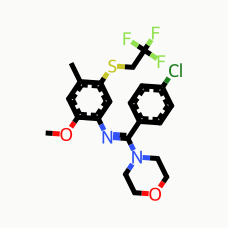 COc1cc(C)c(SCC(F)(F)F)cc1/N=C(\c1ccc(Cl)cc1)N1CCOCC1